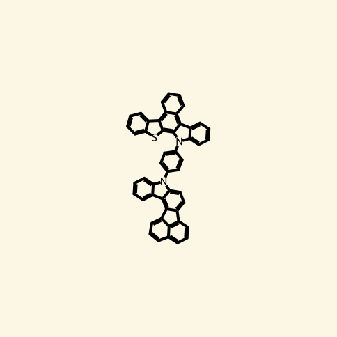 c1cc2c3c(cccc3c1)-c1c-2ccc2c1c1ccccc1n2-c1ccc(-n2c3ccccc3c3c4ccccc4c4c5ccccc5sc4c32)cc1